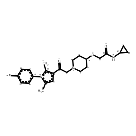 Cc1cc(C(=O)CN2CCC(OCC(=O)NC3CC3)CC2)c(C)n1-c1ccc(F)cc1